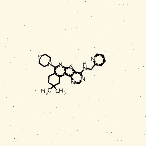 CC1(C)CCc2c(N3CCSCC3)nc3sc4c(NCc5ccccn5)ncnc4c3c2C1